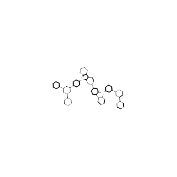 C1=CCC(C2=CCCC(c3cccc(N4c5cc(C6C=Cc7c8c(n(-c9ccc(C%10CC(c%11ccccc%11)CC(C%11CCCCC%11)C%10)cc9)c7C6)CCCC8)ccc5C5C=CC=CC54)c3)C2)C=C1